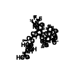 CCOC(=O)C(Cl)Cc1cc(-n2nc(C)n(C(F)F)c2=O)c(F)cc1Cl.CS(=O)(=O)c1ccc(C(=O)C2C(=O)CCCC2=O)c([N+](=O)[O-])c1.O=C(O)CNCP(=O)(O)O